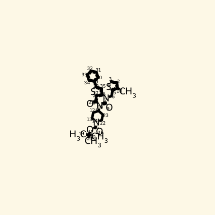 Cc1ccsc1Cn1c(=O)n(C2CCN(C(=O)OC(C)(C)C)CC2)c(=O)c2sc(-c3ccccc3)cc21